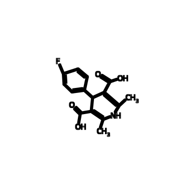 CC1=C(C(=O)O)C(c2ccc(F)cc2)C(C(=O)O)=C(C)N1